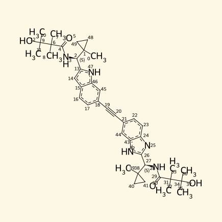 CC1([C@H](NC(=O)C(C)(C)C(C)(C)O)c2cc3ccc(C#Cc4ccc5nc([C@@H](NC(=O)C(C)(C)C(C)(C)O)C6(C)CC6)[nH]c5c4)cc3[nH]2)CC1